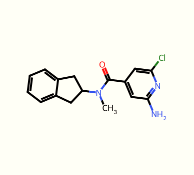 CN(C(=O)c1cc(N)nc(Cl)c1)C1Cc2ccccc2C1